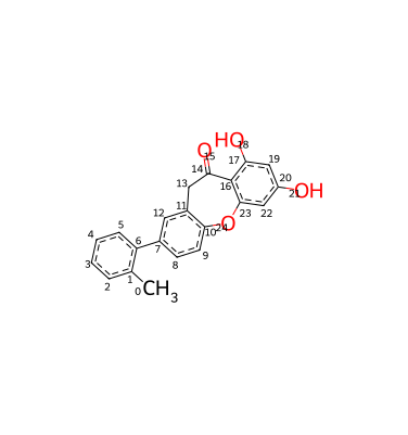 Cc1ccccc1-c1ccc2c(c1)CC(=O)c1c(O)cc(O)cc1O2